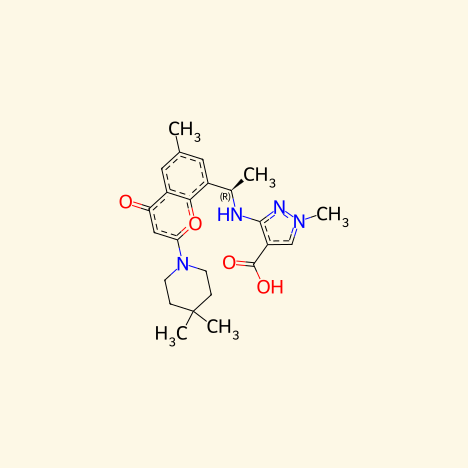 Cc1cc([C@@H](C)Nc2nn(C)cc2C(=O)O)c2oc(N3CCC(C)(C)CC3)cc(=O)c2c1